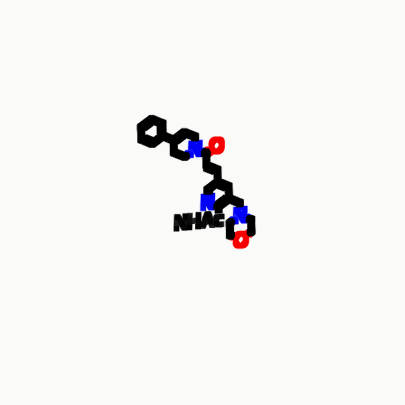 CC(=O)Nc1ncc(/C=C/C(=O)N2CC=C(c3ccccc3)CC2)cc1CN1CCOCC1